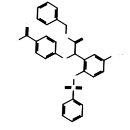 COc1ccc(NS(=O)(=O)c2ccccc2)c(C(Nc2ccc(C(=N)N)cc2)C(=O)NCc2ccccc2)c1